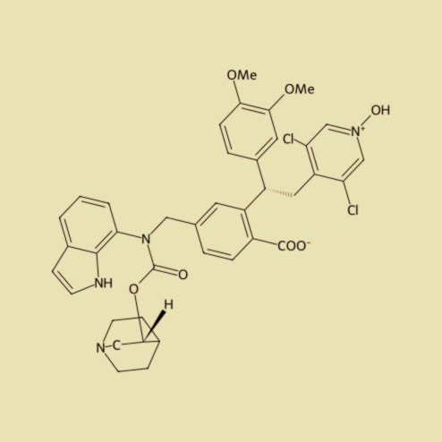 COc1ccc([C@H](Cc2c(Cl)c[n+](O)cc2Cl)c2cc(CN(C(=O)O[C@H]3CN4CCC3CC4)c3cccc4cc[nH]c34)ccc2C(=O)[O-])cc1OC